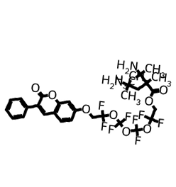 CC(C)(N)CC(C)(C(=O)OCC(F)(F)OC(F)(F)OC(F)(F)OC(F)(F)COc1ccc2cc(-c3ccccc3)c(=O)oc2c1)C(C)(C)N